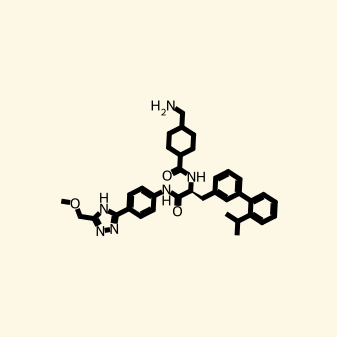 COCc1nnc(-c2ccc(NC(=O)[C@H](Cc3cccc(-c4ccccc4C(C)C)c3)NC(=O)C3CCC(CN)CC3)cc2)[nH]1